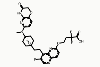 CN(c1ccc2c(n1)NC(=O)CO2)C12CCC(CCc3c(F)cnc4ccc(OCCC(F)(F)C(=O)O)nc34)(CC1)OC2